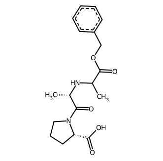 CC(N[C@@H](C)C(=O)N1CCC[C@H]1C(=O)O)C(=O)OCc1ccccc1